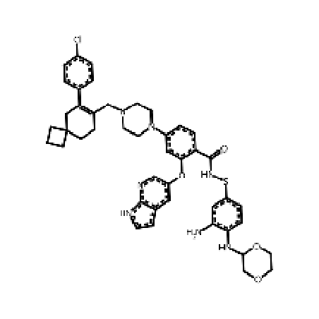 Nc1cc(SNC(=O)c2ccc(N3CCN(CC4=C(c5ccc(Cl)cc5)CC5(CCC5)CC4)CC3)cc2Oc2cnc3[nH]ccc3c2)ccc1NC1COCCO1